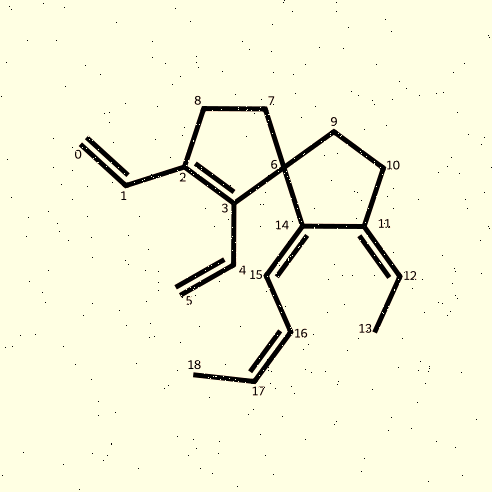 C=CC1=C(C=C)C2(CC1)CCC(=C/C)/C2=C\C=C/C